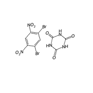 O=[N+]([O-])c1cc([N+](=O)[O-])c(Br)cc1Br.O=c1[nH]c(=O)[nH]c(=O)[nH]1